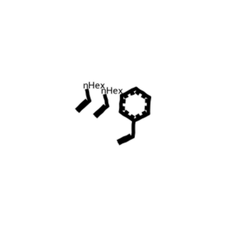 C=CCCCCCC.C=CCCCCCC.C=Cc1ccccc1